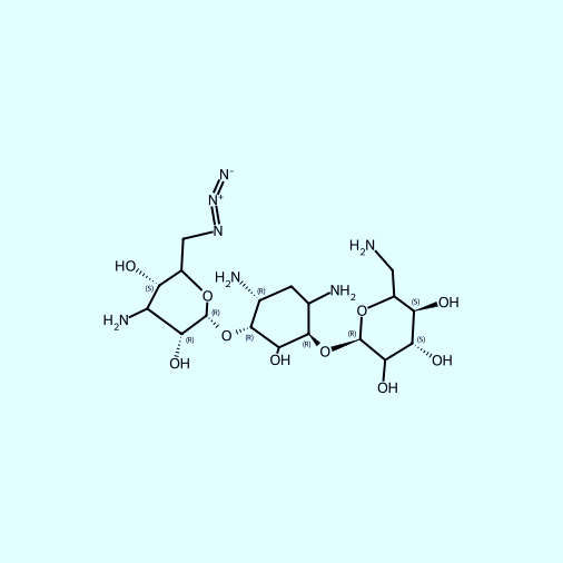 [N-]=[N+]=NCC1O[C@H](O[C@H]2C(O)[C@H](O[C@H]3OC(CN)[C@@H](O)[C@H](O)C3O)C(N)C[C@H]2N)[C@H](O)C(N)[C@@H]1O